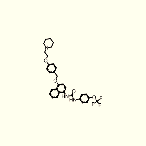 O=C(Nc1ccc(OC(F)(F)F)cc1)Nc1ccc(OCc2ccc(OCCN3CCCCC3)cc2)c2ccccc12